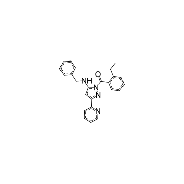 CCc1ccccc1C(=O)n1nc(-c2ccccn2)cc1NCc1ccccc1